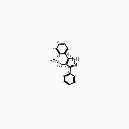 CCCOc1c(-c2ccccc2)n[nH]c1-c1ccccc1